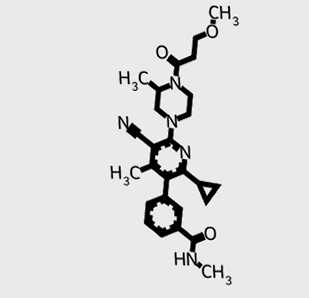 CNC(=O)c1cccc(-c2c(C3CC3)nc(N3CCN(C(=O)CCOC)C(C)C3)c(C#N)c2C)c1